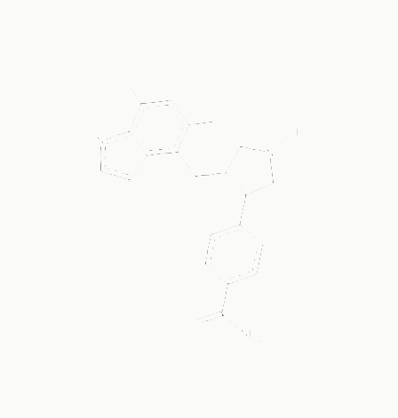 Cc1cc(C)c2[nH]ccc2c1CC1CN(C)CC1c1ccc(C(N)=O)cc1